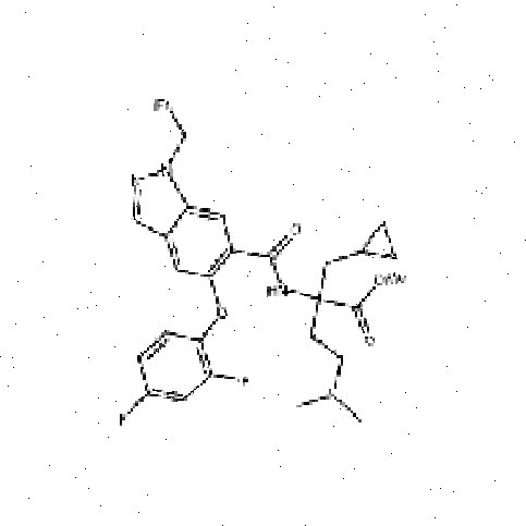 COC(=O)C(CCN(C)C)(CC1CC1)NC(=O)c1cc2c(cnn2CC(C)C)cc1Oc1ccc(F)cc1F